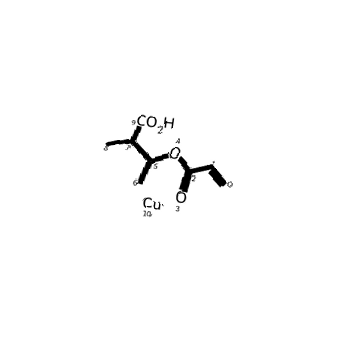 C=CC(=O)OC(C)C(C)C(=O)O.[Cu]